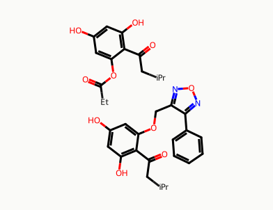 CC(C)CC(=O)c1c(O)cc(O)cc1OCc1nonc1-c1ccccc1.CCC(=O)Oc1cc(O)cc(O)c1C(=O)CC(C)C